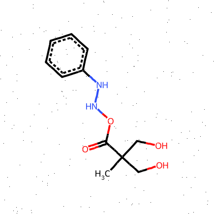 CC(CO)(CO)C(=O)ONNc1ccccc1